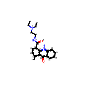 CCN(CC)CCNC(=O)c1ccc(C)c2c(=O)c3ccccc3[nH]c12